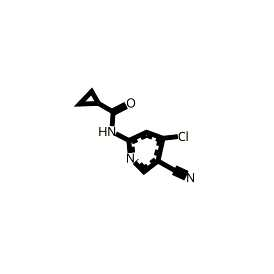 N#Cc1cnc(NC(=O)C2CC2)cc1Cl